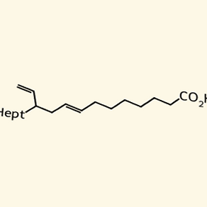 C=CC(CC=CCCCCCCC(=O)O)CCCCCCC